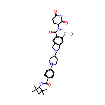 CN(C(=O)c1cc2c(cc1C=O)CN(C1CCN(c3ccc(C(=O)NC4C(C)(C)CC4(C)C)cc3)CC1)C2)C1CCC(=O)NC1=O